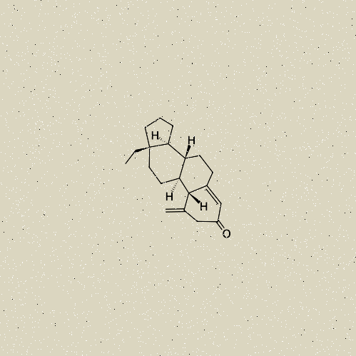 C=C1CC(=O)C=C2CC[C@@H]3[C@H](CC[C@]4(CC)CCC[C@@H]34)[C@@H]12